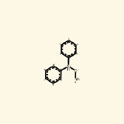 CCCO[SiH](c1ccccc1)c1ccccc1